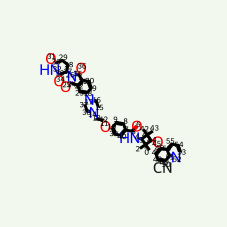 CC1(C)C(NC(=O)c2ccc(OCCN3CCN(c4ccc5c(c4)C(=O)N(C4CCC(=O)NC4=O)C5=O)CC3)cc2)C(C)(C)C1Oc1ccc(C#N)c2ncccc12